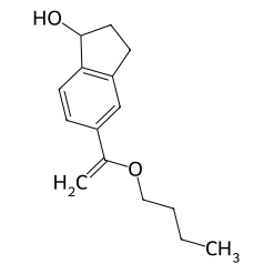 C=C(OCCCC)c1ccc2c(c1)CCC2O